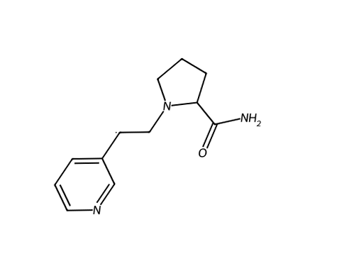 NC(=O)C1CCCN1C[CH]c1cccnc1